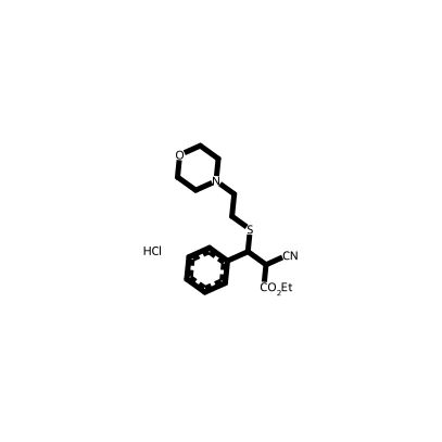 CCOC(=O)C(C#N)C(SCCN1CCOCC1)c1ccccc1.Cl